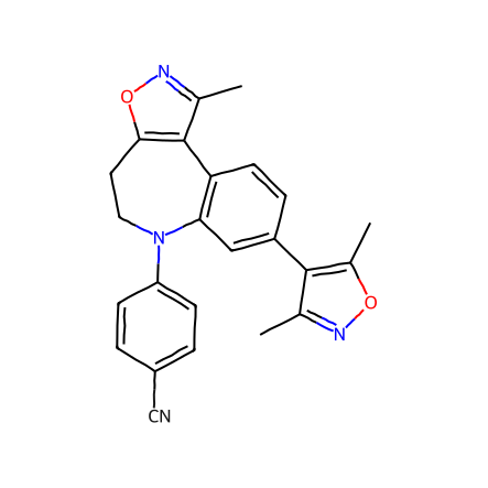 Cc1noc(C)c1-c1ccc2c(c1)N(c1ccc(C#N)cc1)CCc1onc(C)c1-2